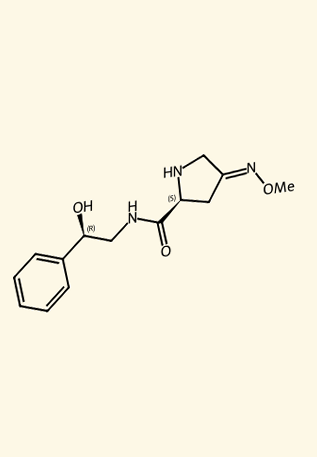 CON=C1CN[C@H](C(=O)NC[C@H](O)c2ccccc2)C1